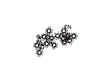 N#Cc1ccc(-n2c3ccc(-c4cc5c6c(c4)N(c4ccccc4)c4ccc(C(=O)OCc7ccccc7)cc4B6c4cc(C(=O)OCc6ccccc6)ccc4N5c4ccccc4)cc3c3ccc(-c4ccccc4)cc32)c(-c2nc(-c3ccccc3)nc(-c3ccccc3)n2)c1